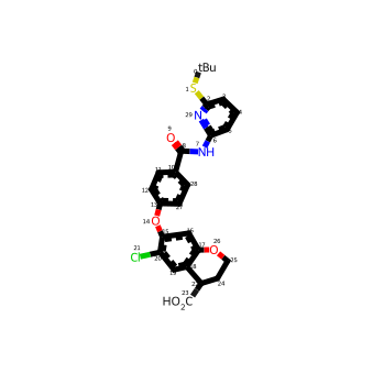 CC(C)(C)Sc1cccc(NC(=O)c2ccc(Oc3cc4c(cc3Cl)C(C(=O)O)CCO4)cc2)n1